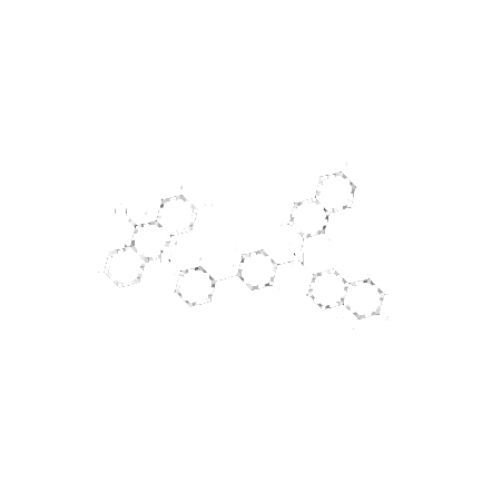 O=c1c2ccccc2n(-c2cccc(-c3ccc(N(c4ccc5ccccc5c4)c4ccc5ccccc5c4)cc3)c2)c2ccccc12